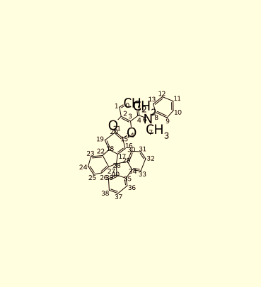 C=CC1=C(C(=C)N(C)c2ccccc2)Oc2cc3c(cc2O1)-c1ccccc1C31c2ccccc2-c2ccccc21